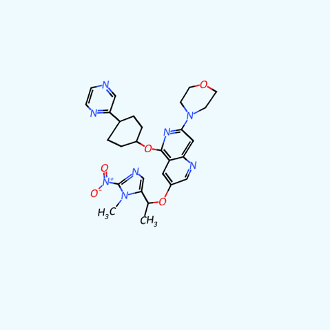 CC(Oc1cnc2cc(N3CCOCC3)nc(OC3CCC(c4cnccn4)CC3)c2c1)c1cnc([N+](=O)[O-])n1C